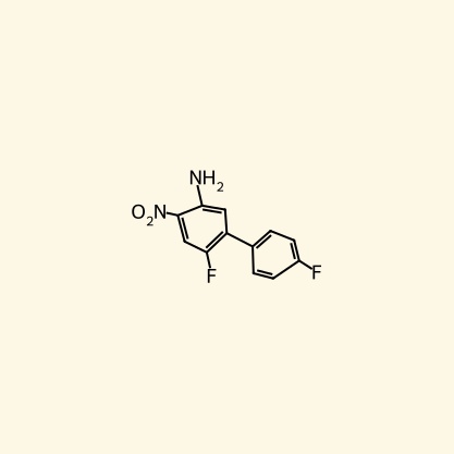 Nc1cc(-c2ccc(F)cc2)c(F)cc1[N+](=O)[O-]